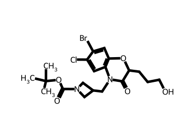 CC(C)(C)OC(=O)N1CC(CN2C(=O)C(CCCO)Oc3cc(Br)c(Cl)cc32)C1